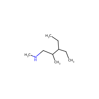 CCC(CC)C(C)CNC